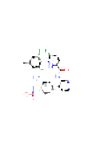 Cc1cc(F)c(-c2nc(C(=O)Nc3cnccc3[C@H]3C[C@@H](N)[C@@H](NC(=O)O)[C@@H](C)C3)ccc2F)c(F)c1